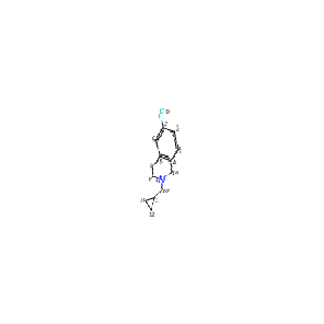 Fc1ccc2c(c1)CCN(CC1CC1)C2